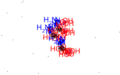 Nc1ncnc2c1ncn2[C@@H]1O[C@H](CO)[C@@H](O)[C@H]1O.Nc1ncnc2c1ncn2[C@@H]1O[C@H](COP(=O)(O)O)[C@@H](O)[C@H]1O.Nc1ncnc2c1ncn2[C@@H]1O[C@H](COP(=O)(O)OP(=O)(O)O)[C@@H](O)[C@H]1O.O=P(O)(O)O